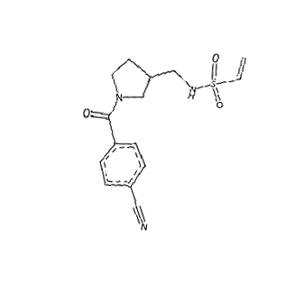 C=CS(=O)(=O)NCC1CCN(C(=O)c2ccc(C#N)cc2)C1